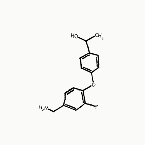 CC(O)c1ccc(Oc2ccc(CN)cc2F)cc1